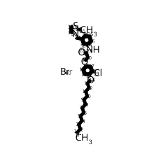 CCCCCCCCCCCCCCOc1ccc(OCC(=O)Nc2cccc(C[n+]3ccsc3C)c2)cc1Cl.[Br-]